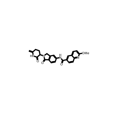 C=C1CCC(N2Cc3cc(NC(=O)c4ccc5nc(OC)ccc5c4)ccc3C2=O)C(=O)N1